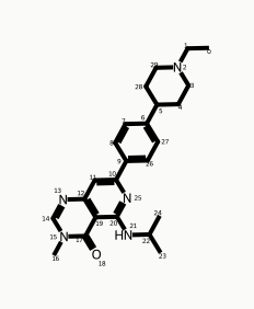 CCN1CCC(c2ccc(-c3cc4ncn(C)c(=O)c4c(NC(C)C)n3)cc2)CC1